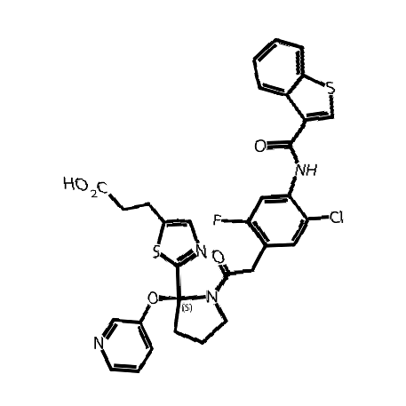 O=C(O)CCc1cnc([C@@]2(Oc3cccnc3)CCCN2C(=O)Cc2cc(Cl)c(NC(=O)c3csc4ccccc34)cc2F)s1